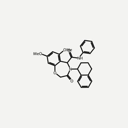 COc1cc(OC)c2c(c1)OCC(=O)N(C1CCCc3ccccc31)C2C(=O)Nc1ccccc1